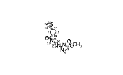 COC(=O)c1ccnc(N2CC3(CCN(C(=O)c4cccc(-c5cccs5)c4)C3)C2)n1